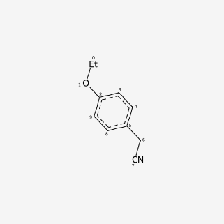 CCOc1ccc(CC#N)cc1